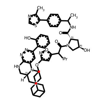 Cc1ncsc1-c1ccc(C(C)NC(=O)[C@@H]2C[C@@H](O)CN2C(=O)C(c2cc(OCCN3CC4CC(C3)C4N3CCN4c5cc(-c6ccccc6O)nnc5NC[C@H]4C3)no2)C(C)C)cc1